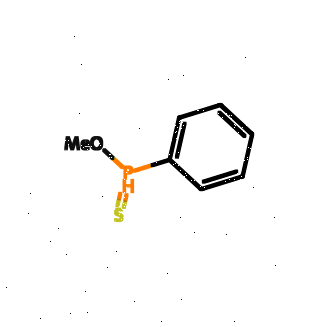 CO[PH](=S)c1ccccc1